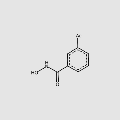 CC(=O)c1cccc(C(=O)NO)c1